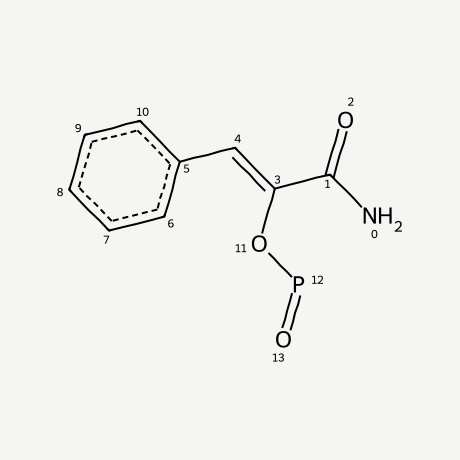 NC(=O)C(=Cc1ccccc1)OP=O